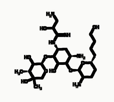 C[C@@H]1C(O)[C@@H](OC2C(O)C(O[C@H]3O[C@H](CCCCO)CCC3N)[C@@H](N)C[C@H]2NC(=N)C(O)CN)OCC1(C)O